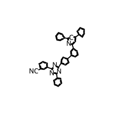 N#Cc1cccc(-c2nc(-c3ccccc3)nc(-c3ccc(-c4cccc(-c5cc(-c6ccccc6)cc(-c6ccccc6)n5)c4)cc3)n2)c1